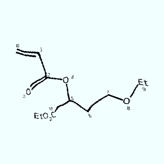 C=CC(=O)OC(CCOCC)C(=O)OCC